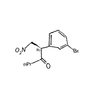 CCCC(=O)[C@@H](C[N+](=O)[O-])c1cccc(Br)c1